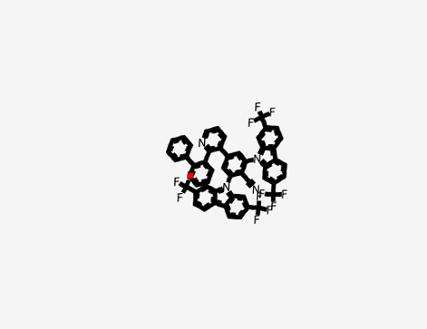 N#Cc1c(-n2c3cc(C(F)(F)F)ccc3c3ccc(C(F)(F)F)cc32)cc(-c2cccnc2-c2ccccc2-c2ccccc2)cc1-n1c2cc(C(F)(F)F)ccc2c2ccc(C(F)(F)F)cc21